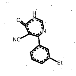 CCc1cccc(-c2nc[nH]c(=O)c2C#N)c1